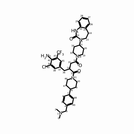 CN(C)Cc1ccc(C2CCN(C(=O)C(CC(=O)N3CCC(N4CCc5ccccc5NC4=O)CC3)Cc3cc(Cl)c(N)c(C(F)(F)F)c3)CC2)cc1